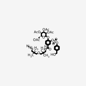 CC(=O)OC[C@H]1OC(Oc2ccc(C(=O)NCC(C)(C)COCC(C)(C)CN=[N+]=[N-])cc2OS(=O)(=O)Oc2ccc(CO)cc2)[C@H](OC(C)=O)[C@@H](OC(C)=O)[C@H]1OC(C)=O